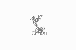 Oc1cc(Cl)c(OCCCOc2ccc(Br)cc2OC(F)F)c(Cl)c1